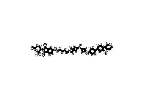 Cn1c2ccncc2c2ccc(-c3ccc(O[C@H]4C[C@H](N(C)C5CC6(C5)CN(CCCCCOc5ccc7c(c5)C(=O)N(C5CCC(=O)NC5=O)C7=O)C6)C4)cc3)cc21